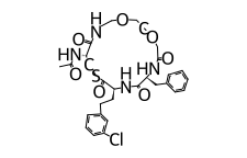 CC(=O)N[C@H]1CSC(=O)[C@H](CCc2cccc(Cl)c2)NC(=O)[C@H](Cc2ccccc2)NC(=O)COCCOCCNC1=O